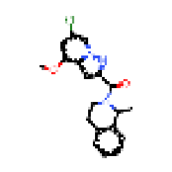 COc1cc(Cl)cn2nc(C(=O)N3CCc4ccccc4C3C)cc12